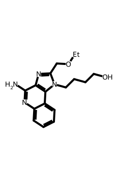 CCOCc1nc2c(N)nc3ccccc3c2n1CCCCO